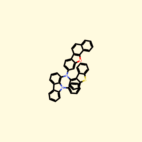 c1ccc(-n2c3ccccc3c3cccc(N(c4ccc5c(c4)oc4c6ccccc6ccc54)c4cccc5sc6ccccc6c45)c32)cc1